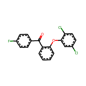 O=C(c1ccc(F)cc1)c1ccccc1Oc1cc(Cl)ccc1Cl